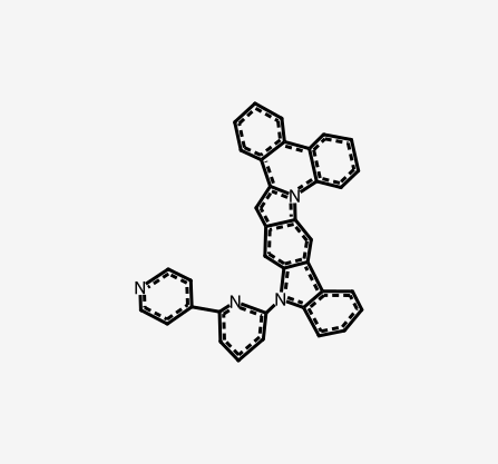 c1cc(-c2ccncc2)nc(-n2c3ccccc3c3cc4c(cc32)cc2c3ccccc3c3ccccc3n42)c1